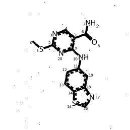 CSc1ncc(C(N)=O)c(Nc2ccc3scnc3c2)n1